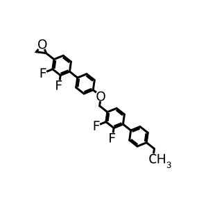 CCc1ccc(-c2ccc(COc3ccc(-c4ccc(C5CO5)c(F)c4F)cc3)c(F)c2F)cc1